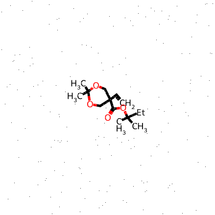 C=CC1(C(=O)OC(C)(C)CC)COC(C)(C)OC1